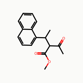 COC(=O)C(C(C)=O)C(C)c1cccc2ccccc12